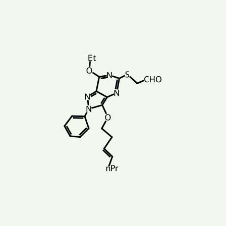 CCCC=CCCOc1c2nc(SCC=O)nc(OCC)c2nn1-c1ccccc1